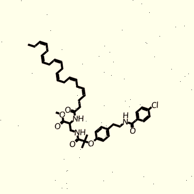 CC/C=C\C/C=C\C/C=C\C/C=C\C/C=C\C/C=C\CCC(=O)NC(CNC(=O)C(C)(C)Oc1ccc(CCNC(=O)c2ccc(Cl)cc2)cc1)C(=O)OC